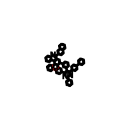 c1ccc(-c2ccc(-c3nc(-c4ccccc4)nc(-c4ccc(-c5ccccc5)cc4)c3-c3cccc(-c4cc5c(-c6ccc7ccccc7c6)nc6ccccc6c5c5ccccc45)c3)cc2)cc1